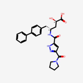 O=C(N[C@H](Cc1ccc(-c2ccccc2)cc1)C[C@@H](O)C(=O)O)c1cc(C(=O)N2CCCC2)n[nH]1